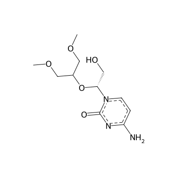 COCC(COC)O[C@H](CO)n1ccc(N)nc1=O